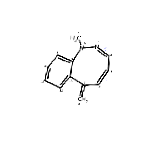 C=C1/C=C\C=N/N(C)c2ccccc21